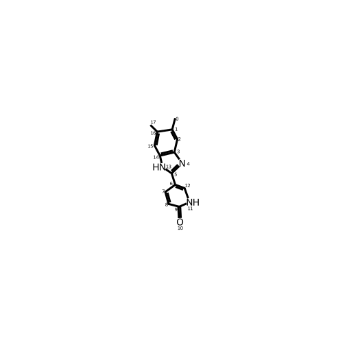 Cc1cc2nc(-c3ccc(=O)[nH]c3)[nH]c2cc1C